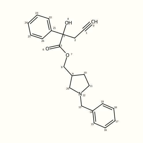 C#CCC(O)(C(=O)OCC1CCN(Cc2ccccc2)C1)c1ccccc1